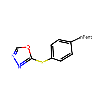 CCCCCc1ccc(Sc2nnco2)cc1